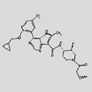 COCC(=O)N1CC[C@H](NC(=O)c2c(C)[nH]c3c(-c4cc(C(F)(F)F)ccc4OCC4CC4)ncnc23)[C@@H](F)C1